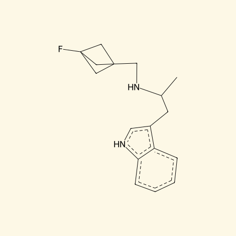 CC(Cc1c[nH]c2ccccc12)NCC12CC(F)(C1)C2